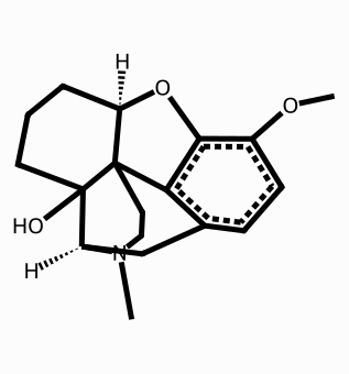 COc1ccc2c3c1O[C@@H]1CCCC4(O)[C@H](C2)N(C)CCC314